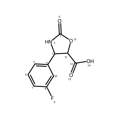 O=C1NC(c2cccc(F)c2)C(C(=O)O)O1